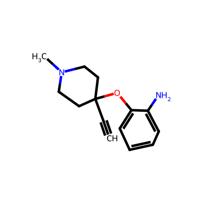 C#CC1(Oc2ccccc2N)CCN(C)CC1